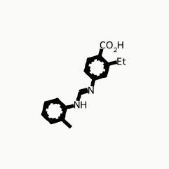 CCc1cc(N=CNc2ccccc2C)ccc1C(=O)O